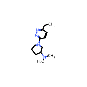 CCc1ccc(N2CCCC(N(C)C)C2)nn1